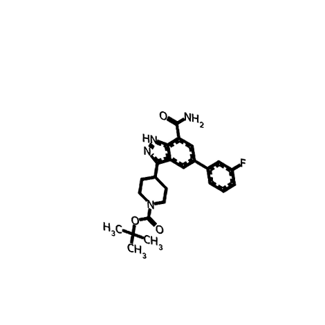 CC(C)(C)OC(=O)N1CCC(c2n[nH]c3c(C(N)=O)cc(-c4cccc(F)c4)cc23)CC1